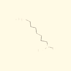 CCCCCCCCCCCCCCN(C)CC